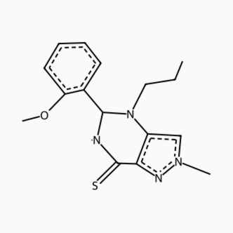 CCCN1c2cn(C)nc2C(=S)[N]C1c1ccccc1OC